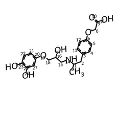 CC(Cc1ccc(OCC(=O)O)cc1)NCC(O)COc1ccc(O)c(O)c1